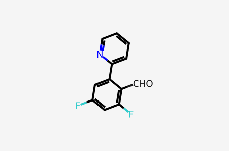 O=Cc1c(F)cc(F)cc1-c1ccccn1